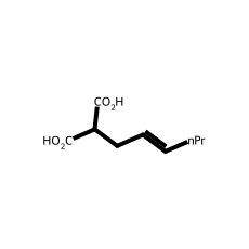 CCC/C=C/CC(C(=O)O)C(=O)O